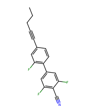 CCCC#Cc1ccc(-c2cc(F)c(C#N)c(F)c2)c(F)c1